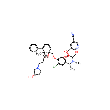 CC(c1cc(Cl)c(OCC2(OCCCN3CC[C@@H](O)C3)C=CC=C(c3ccccc3)C2(C)C)cc1OCc1cncc(C#N)c1)N(C)C(CO)C(=O)O